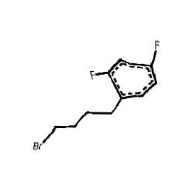 Fc1ccc(CCCCBr)c(F)c1